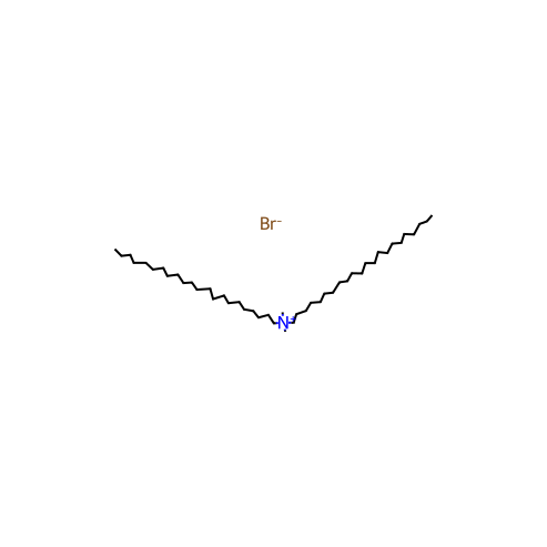 CCCCCCCCCCCCCCCCCCCCCC[N+](C)(C)CCCCCCCCCCCCCCCCCCCCCC.[Br-]